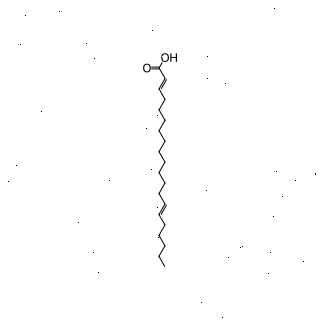 CCCCCC=CCCCCCCCCCCC=CC(=O)O